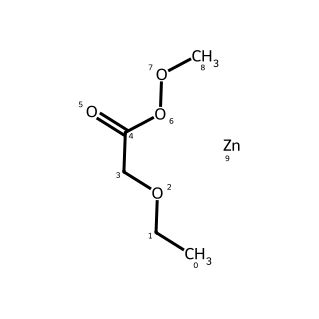 CCOCC(=O)OOC.[Zn]